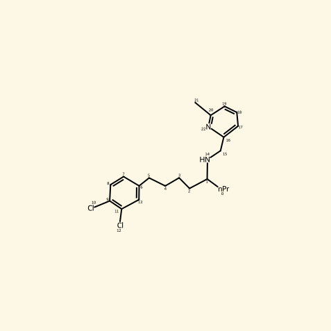 CCCC(CCCCc1ccc(Cl)c(Cl)c1)NCc1cccc(C)n1